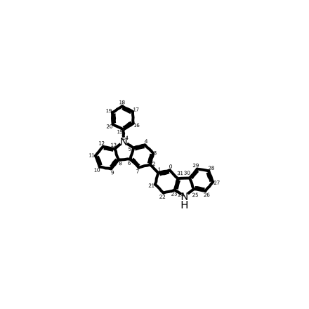 C1=C(c2ccc3c(c2)c2ccccc2n3-c2ccccc2)CCc2[nH]c3ccccc3c21